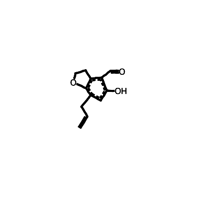 C=CCc1cc(O)c(C=O)c2c1OCC2